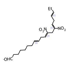 CC/C=C/C/C=C(/C/C(=C/C/C=C/CCCCCC[C]=O)[N+](=O)[O-])[N+](=O)[O-]